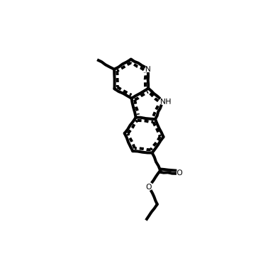 CCOC(=O)c1ccc2c(c1)[nH]c1ncc(C)cc12